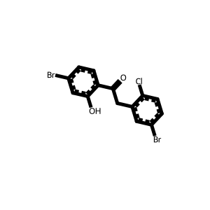 O=C(Cc1cc(Br)ccc1Cl)c1ccc(Br)cc1O